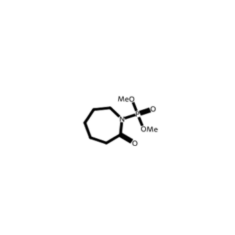 COP(=O)(OC)N1CCCCCC1=O